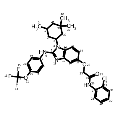 CC1CC(n2c(Nc3ccc(OC(F)(F)F)cc3)nc3cc(OCC(=O)Nc4ccccc4Cl)ccc32)CC(C)(C)C1